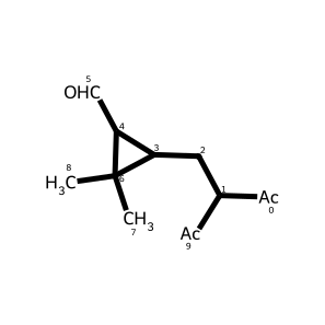 CC(=O)C(CC1C(C=O)C1(C)C)C(C)=O